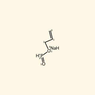 C=CCO[PH2]=O.[NaH]